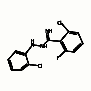 N=C(NNc1ccccc1Cl)c1c(F)cccc1Cl